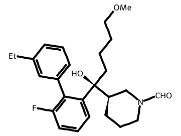 CCc1cccc(-c2c(F)cccc2[C@](O)(CCCCOC)[C@@H]2CCCN(C=O)C2)c1